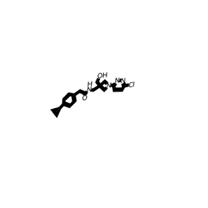 O=C(Cc1ccc(C2CC2)cc1)NCC1(CO)CN(c2ccc(Cl)nn2)C1